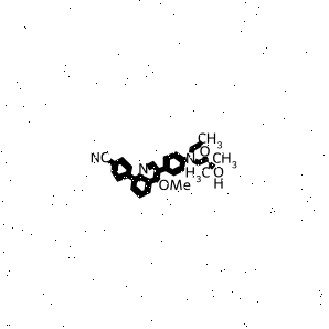 COc1c(-c2ccc(N3C[C@@H](C(C)(C)O)O[C@@H](C)C3)cc2)cnc2c(-c3ccc(C#N)cc3)cccc12